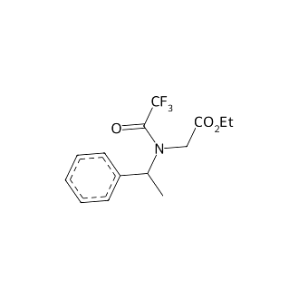 CCOC(=O)CN(C(=O)C(F)(F)F)C(C)c1ccccc1